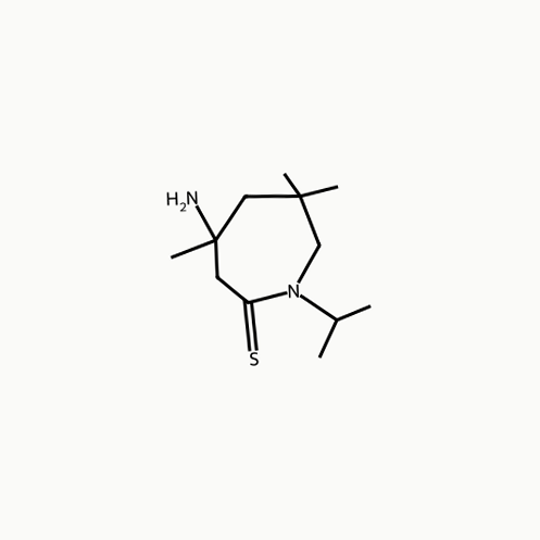 CC(C)N1CC(C)(C)CC(C)(N)CC1=S